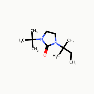 CCC(C)(C)N1CCN(C(C)(C)C)C1=O